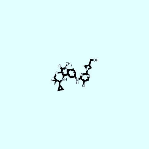 Cn1c(=O)c2c(c3cc(Nc4nc(N5CC(CO)C5)ncc4Cl)ccc31)NC(C1CC1)C(F)(F)CO2